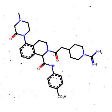 CN1CCN(c2cccc3c2CCN(C(=O)CC2CCN(C(=N)N)CC2)C3C(=O)Nc2ccc(C(=O)O)cc2)C(=O)C1